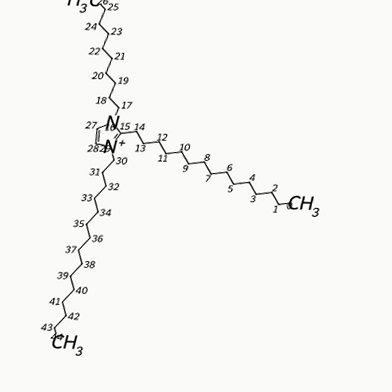 CCCCCCCCCCCCCCCc1n(CCCCCCCCCC)cc[n+]1CCCCCCCCCCCCCCC